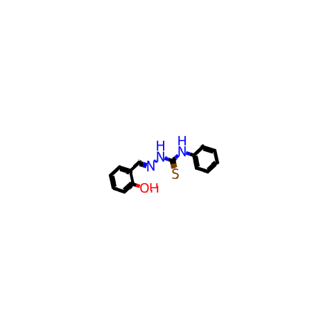 Oc1ccccc1/C=N/NC(=S)Nc1ccccc1